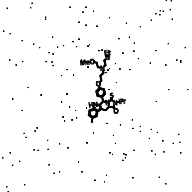 CCOCCN(CCCOc1ccc(C2c3[nH]c4ccc(C)cc4c3CC3C(=O)N(C(C)C)C(=S)N32)cc1)CCOC